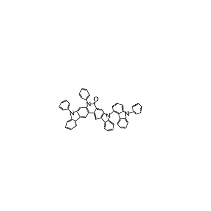 O=c1c2cc3c(cc2c2cc4c5ccccc5n(-c5ccccc5)c4cc2n1-c1ccccc1)c1ccccc1n3-c1cccc2c1c1ccccc1n2-c1ccccc1